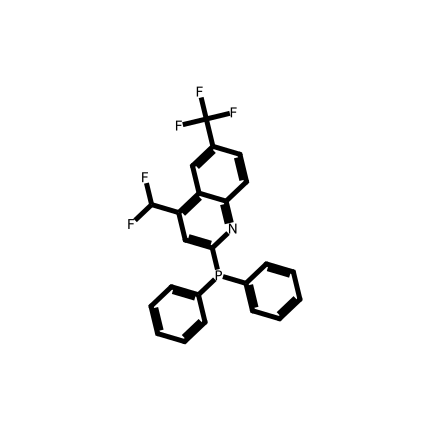 FC(F)c1cc(P(c2ccccc2)c2ccccc2)nc2ccc(C(F)(F)F)cc12